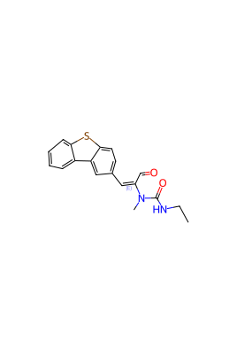 CCNC(=O)N(C)/C(C=O)=C/c1ccc2sc3ccccc3c2c1